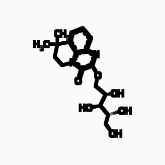 CC1(C)CCn2c(=O)c(OC[C@H](O)[C@H](O)[C@H](O)CO)nc3cccc1c32